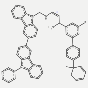 CC1(c2ccc(-c3cc(F)cc(C(N)/C=C\NCn4c5ccccc5c5cc(-c6ccc7c(c6)c6ccccc6n7-c6ccccc6)ccc54)c3)cc2)C=CC=CC1